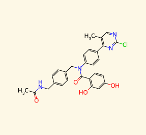 CC(=O)NCc1ccc(CN(C(=O)c2ccc(O)cc2O)c2ccc(-c3nc(Cl)ncc3C)cc2)cc1